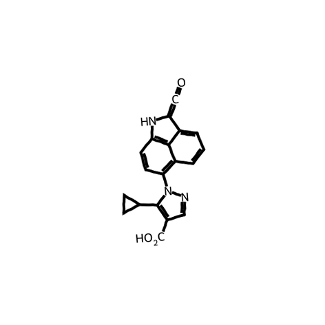 O=C=c1[nH]c2ccc(-n3ncc(C(=O)O)c3C3CC3)c3cccc1c23